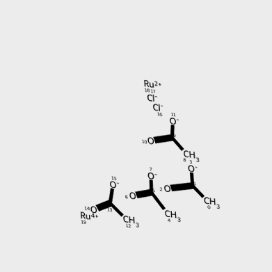 CC(=O)[O-].CC(=O)[O-].CC(=O)[O-].CC(=O)[O-].[Cl-].[Cl-].[Ru+2].[Ru+4]